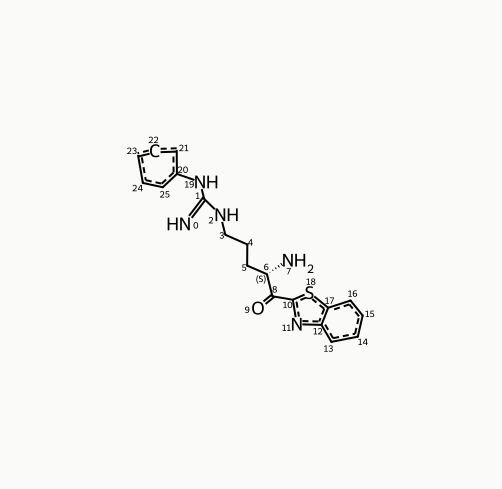 N=C(NCCC[C@H](N)C(=O)c1nc2ccccc2s1)Nc1ccccc1